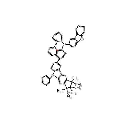 CC1(C)c2cc3c4cc(-c5ccc(N(c6ccc7oc8ccccc8c7c6)c6ccccc6-c6ccccc6)cc5)ccc4n(-c4ccccc4)c3cc2C(C)(C)C1(C)C